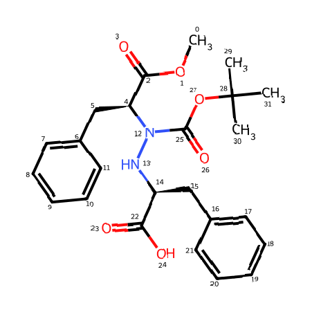 COC(=O)[C@H](Cc1ccccc1)N(N[C@@H](Cc1ccccc1)C(=O)O)C(=O)OC(C)(C)C